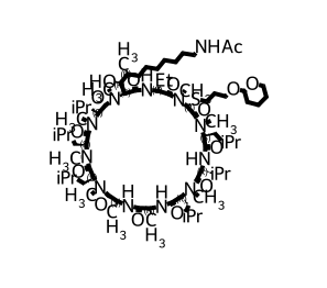 CC[C@@H]1NC(=O)[C@H]([C@H](O)[C@H](C)CCCCCCCNC(C)=O)N(C)C(=O)[C@H](C(C)C)N(C)C(=O)[C@H](CC(C)C)N(C)C(=O)[C@H](CC(C)C)N(C)C(=O)[C@H](C)NC(=O)[C@@H](C)NC(=O)[C@@H](CC(C)C)N(C)C(=O)[C@@H](C(C)C)NC(=O)[C@H](CC(C)C)N(C)C(=O)[C@@H](SCCCOC2CCCCO2)N(C)C1=O